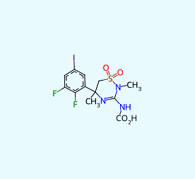 CN1C(NC(=O)O)=NC(C)(c2cc(I)cc(F)c2F)CS1(=O)=O